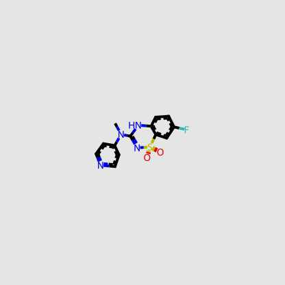 CN(C1=NS(=O)(=O)c2cc(F)ccc2N1)c1ccncc1